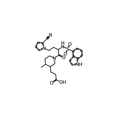 CC1CCN(C(=O)C(CCn2cccc2C#N)NS(=O)(=O)c2cccc3[nH]ccc23)CC1CCC(=O)O